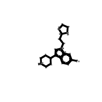 Fc1ccc2c(C3CCNCC3)cn(CCC3OCCO3)c2c1